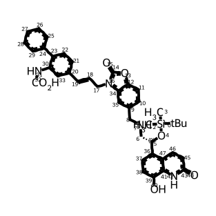 CC(C)(C)[Si](C)(C)O[C@@H](CNCc1ccc2oc(=O)n(CC=Cc3ccc(-c4ccccc4)c(NC(=O)O)c3)c2c1)c1ccc(O)c2[nH]c(=O)ccc12